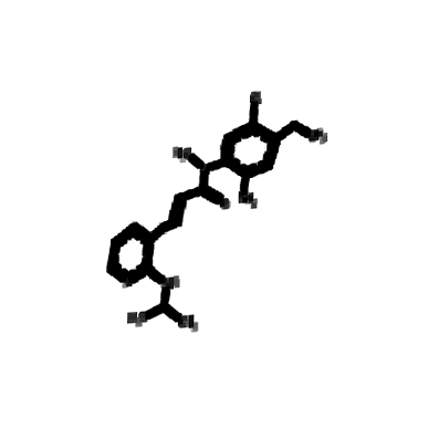 CCc1cc(N)c(N(C)C(=O)/C=C/c2cccnc2NC(C)C)cc1Cl